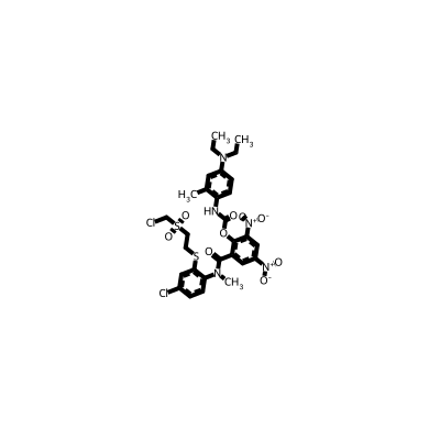 CCN(CC)c1ccc(NC(=O)Oc2c(C(=O)N(C)c3ccc(Cl)cc3SCCS(=O)(=O)CCl)cc([N+](=O)[O-])cc2[N+](=O)[O-])c(C)c1